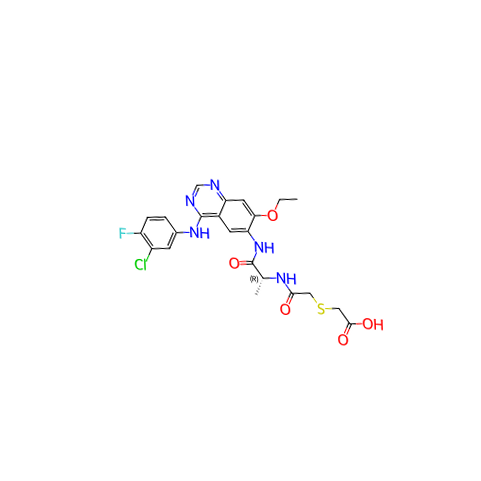 CCOc1cc2ncnc(Nc3ccc(F)c(Cl)c3)c2cc1NC(=O)[C@@H](C)NC(=O)CSCC(=O)O